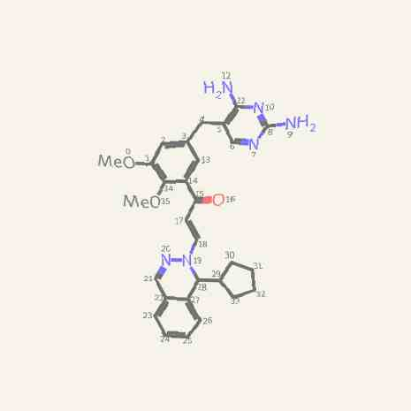 COc1cc(Cc2cnc(N)nc2N)cc(C(=O)/C=C/N2N=Cc3ccccc3C2C2CCCC2)c1OC